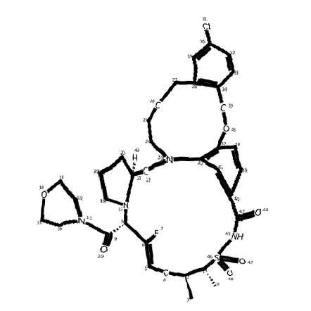 C[C@@H]1[C@@H](C)C/C=C(\F)[C@H](C(=O)N2CCOCC2)N2CCC[C@H]2CN2CCCCc3cc(Cl)ccc3COc3ccc(cc32)C(=O)NS1(=O)=O